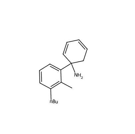 CCCCc1cccc(C2(N)C=CC=CC2)c1C